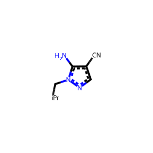 CC(C)Cn1ncc(C#N)c1N